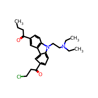 CCCC(=O)c1ccc2c(c1)c1cc(C(=O)CCCl)ccc1n2CCN(CC)CC